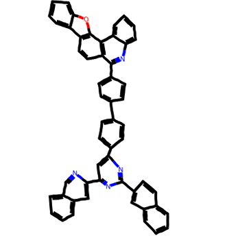 c1ccc2cc(-c3nc(-c4ccc(-c5ccc(-c6nc7ccccc7c7c6ccc6c8ccccc8oc67)cc5)cc4)cc(-c4cc5ccccc5cn4)n3)ccc2c1